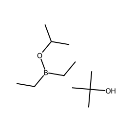 CC(C)(C)O.CCB(CC)OC(C)C